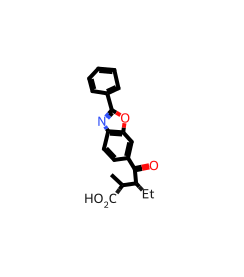 CCC(C(=O)c1ccc2nc(-c3ccccc3)oc2c1)C(C)C(=O)O